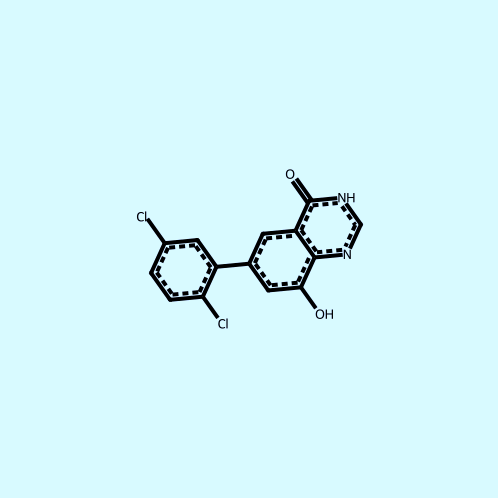 O=c1[nH]cnc2c(O)cc(-c3cc(Cl)ccc3Cl)cc12